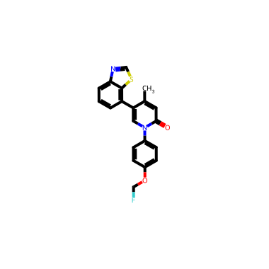 Cc1cc(=O)n(-c2ccc(OCF)cc2)cc1-c1cccc2ncsc12